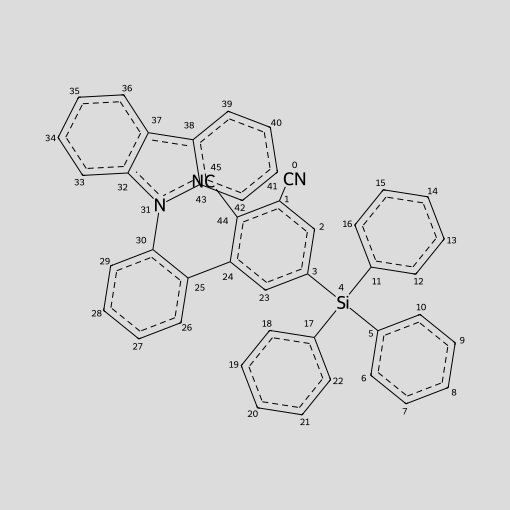 N#Cc1cc([Si](c2ccccc2)(c2ccccc2)c2ccccc2)cc(-c2ccccc2-n2c3ccccc3c3ccccc32)c1C#N